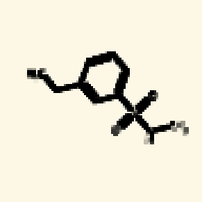 [CH2]Cc1cccc(S(=O)(=O)NC)c1